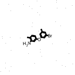 Cc1cc(Br)cc(Oc2ccc(C)c(N)c2)c1